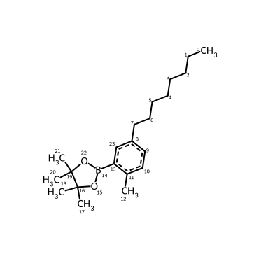 CCCCCCCCc1ccc(C)c(B2OC(C)(C)C(C)(C)O2)c1